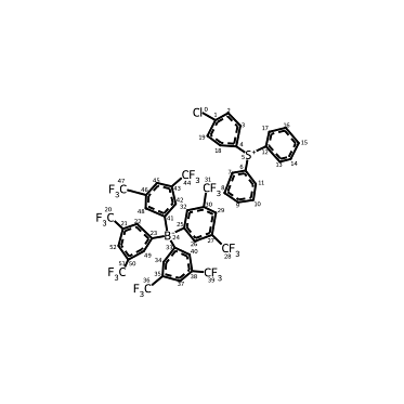 Clc1ccc([S+](c2ccccc2)c2ccccc2)cc1.FC(F)(F)c1cc([B-](c2cc(C(F)(F)F)cc(C(F)(F)F)c2)(c2cc(C(F)(F)F)cc(C(F)(F)F)c2)c2cc(C(F)(F)F)cc(C(F)(F)F)c2)cc(C(F)(F)F)c1